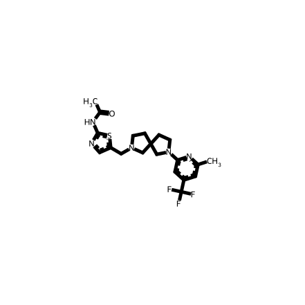 CC(=O)Nc1ncc(CN2CCC3(CCN(c4cc(C(F)(F)F)cc(C)n4)C3)C2)s1